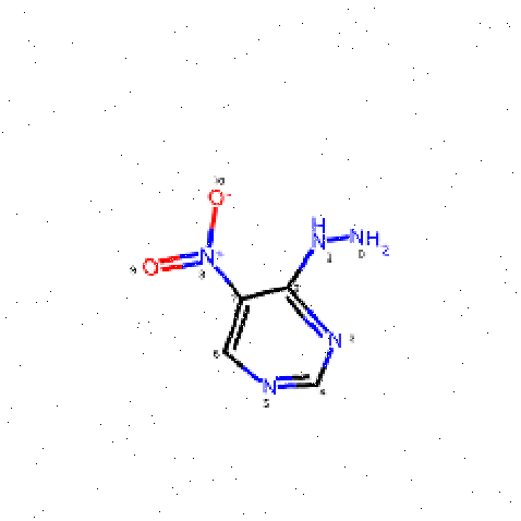 NNc1ncncc1[N+](=O)[O-]